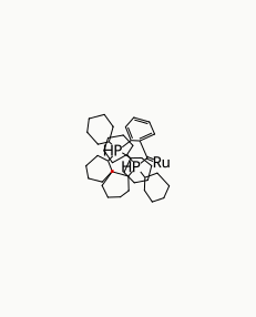 [Ru]=[C](c1ccccc1[PH](C1CCCCC1)(C1CCCCC1)C1CCCCC1)[PH](C1CCCCC1)(C1CCCCC1)C1CCCCC1